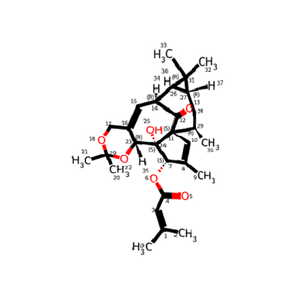 CC(C)=CC(=O)O[C@H]1C(C)=C[C@]23C(=O)[C@@H](C=C4COC(C)(C)O[C@H]4[C@]12O)[C@H]1[C@@H](C[C@H]3C)C1(C)C